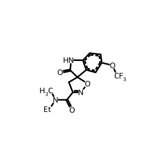 CCN(C)C(=O)C1=NOC2(C1)C(=O)Nc1ccc(OC(F)(F)F)cc12